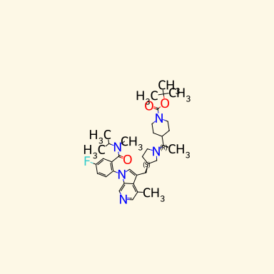 Cc1cncc2c1c(C[C@H]1CCN([C@H](C)C3CCN(C(=O)OC(C)(C)C)CC3)C1)cn2-c1ccc(F)cc1C(=O)N(C)C(C)C